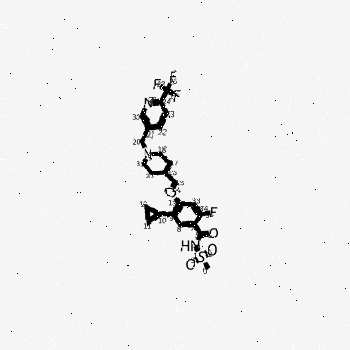 CS(=O)(=O)NC(=O)c1cc(C2CC2)c(OCC2CCN(Cc3ccc(C(F)(F)F)nc3)CC2)cc1F